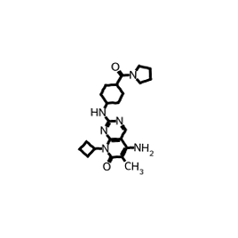 Cc1c(N)c2cnc(NC3CCC(C(=O)N4CCCC4)CC3)nc2n(C2CCC2)c1=O